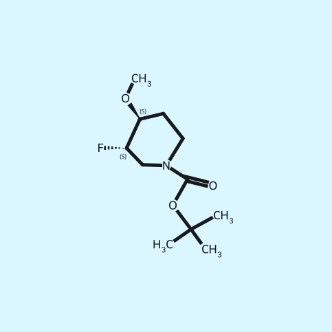 CO[C@H]1CCN(C(=O)OC(C)(C)C)C[C@@H]1F